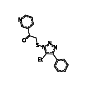 CCc1c(-c2ccccc2)nnn1SCC(=O)c1cccnc1